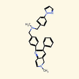 CN1C=Cc2nc(-c3ccc(CN(C)Cc4ccc(-n5cccn5)cc4)cc3)c(-c3ccccc3)cc2C1